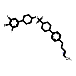 C/C=C/CCc1ccc(C2CCC(C(F)(F)OC3CCC(c4cc(F)c(F)c(F)c4)CC3)CC2)cc1